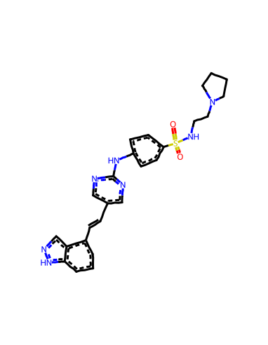 O=S(=O)(NCCN1CCCC1)c1ccc(Nc2ncc(/C=C/c3cccc4[nH]ncc34)cn2)cc1